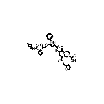 O=C(CC[C@H](NC(=O)c1cc(OCC(=O)N2CCC[C@H]2C(=O)NC2CCC2)n(-c2ccccc2)n1)C(=O)N1CCN(C(=O)O)CC1)OCC1CCCO1